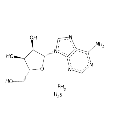 Nc1ncnc2c1ncn2[C@@H]1O[C@H](CO)[C@@H](O)[C@H]1O.P.S